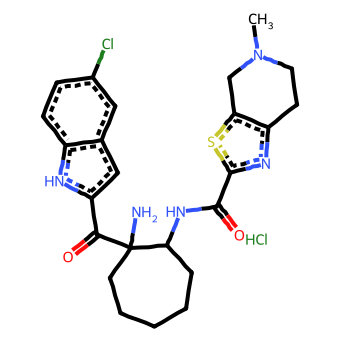 CN1CCc2nc(C(=O)NC3CCCCCC3(N)C(=O)c3cc4cc(Cl)ccc4[nH]3)sc2C1.Cl